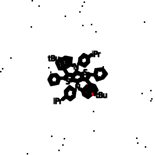 CC(C)c1ccc(N(c2ccc(C(C)(C)C)cc2)c2c3sc(-c4ccccc4)c(-c4ccccc4)c3c(N(c3ccc(C(C)C)cc3)c3ccc(C(C)(C)C)cc3)c3sc(-c4ccccc4)c(-c4ccccc4)c23)cc1